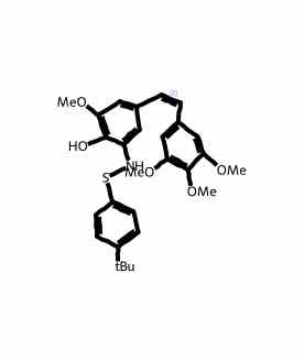 COc1cc(/C=C\c2cc(OC)c(OC)c(OC)c2)cc(NSc2ccc(C(C)(C)C)cc2)c1O